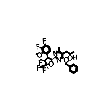 COc1c([C@H]2[C@H](c3nc(C)c(CC(C)O)c(OCc4ccccc4)n3)O[C@@](C)(C(F)(F)F)[C@H]2C)ccc(F)c1F